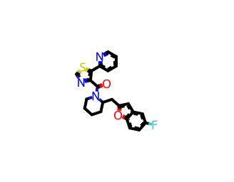 O=C(c1ncsc1-c1ccccn1)N1CCCCC1Cc1cc2cc(F)ccc2o1